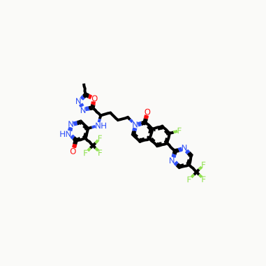 Cc1nnc(C(CCCn2ccc3cc(-c4ncc(C(F)(F)F)cn4)c(F)cc3c2=O)Nc2cn[nH]c(=O)c2C(F)(F)F)o1